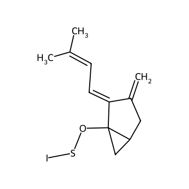 C=C1CC2CC2(OSI)/C1=C/C=C(C)C